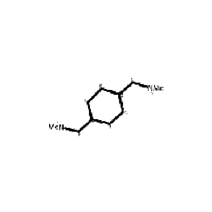 CNCC1CCC(CNC)CC1